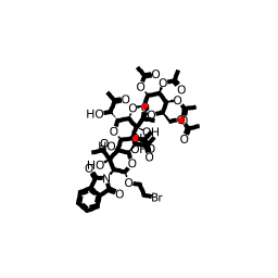 CC(=O)OC[C@H]1O[C@@H](O[C@H]2[C@@H](C(O)C(C)=O)O[C@@H]([C@@]3(O)[C@@H](C(O)C(C)=O)O[C@H](OCCBr)[C@@H](N4C(=O)c5ccccc5C4=O)[C@]3(O)C(C)=O)[C@@](O)(C(C)=O)[C@]2(O)C(C)=O)[C@H](OC(C)=O)[C@@H](OC(C)=O)[C@H]1OC(C)=O